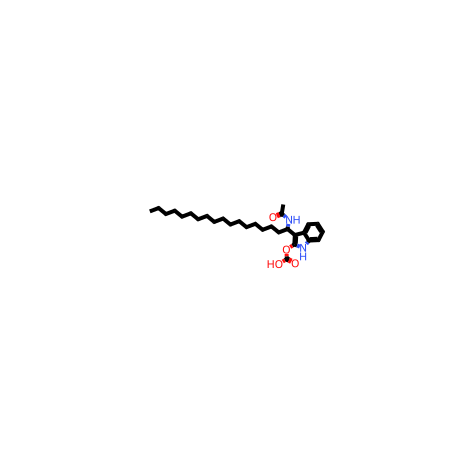 CCCCCCCCCCCCCCCCCC(NC(C)=O)c1c(OC(=O)O)[nH]c2ccccc12